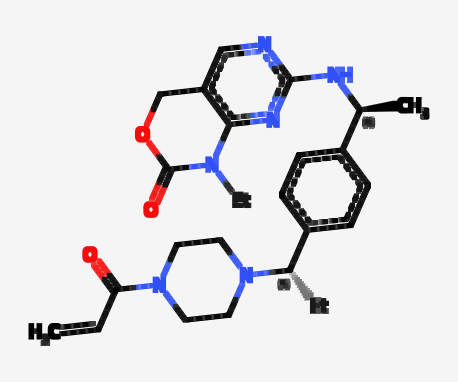 C=CC(=O)N1CCN([C@@H](CC)c2ccc([C@H](C)Nc3ncc4c(n3)N(CC)C(=O)OC4)cc2)CC1